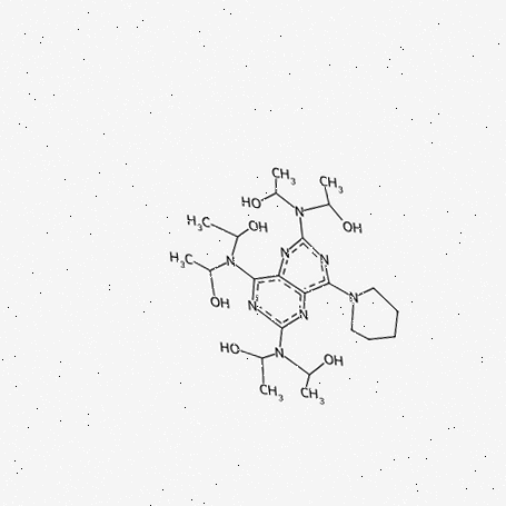 CC(O)N(c1nc(N(C(C)O)C(C)O)c2nc(N(C(C)O)C(C)O)nc(N3CCCCC3)c2n1)C(C)O